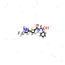 CC([C@@H](O)c1ccccc1)N(C)C(=O)c1ccc(-c2cc(C(F)(F)F)n(C)n2)s1